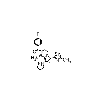 Cc1nsc(-c2nc(N3C[CH]CC3=O)c3n2CCN(C(=O)c2ccc(F)cc2)[C@@H]3C)n1